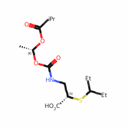 CCC(CC)S[C@@H](CNC(=O)O[C@H](C)OC(=O)C(C)C)C(=O)O